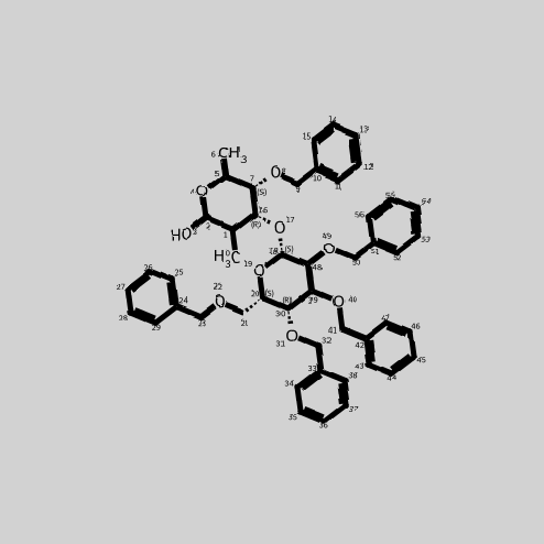 CC1C(O)OC(C)[C@H](OCc2ccccc2)[C@@H]1O[C@H]1O[C@@H](COCc2ccccc2)[C@@H](OCc2ccccc2)C(OCc2ccccc2)C1OCc1ccccc1